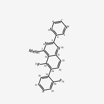 CNc1nc(-c2cnccn2)nc2ccc(-c3ccccc3F)c(F)c12